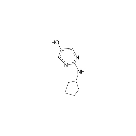 Oc1cnc(NC2CCCC2)nc1